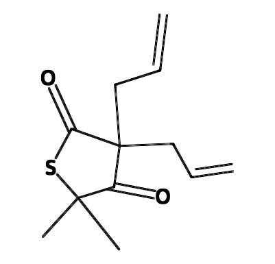 C=CCC1(CC=C)C(=O)SC(C)(C)C1=O